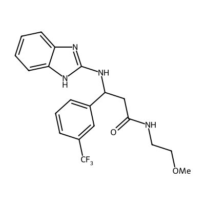 COCCNC(=O)CC(Nc1nc2ccccc2[nH]1)c1cccc(C(F)(F)F)c1